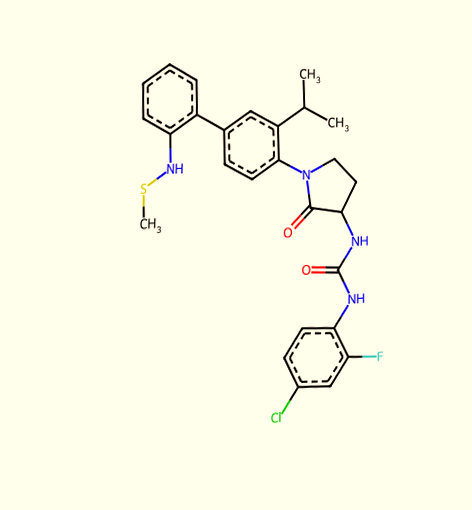 CSNc1ccccc1-c1ccc(N2CCC(NC(=O)Nc3ccc(Cl)cc3F)C2=O)c(C(C)C)c1